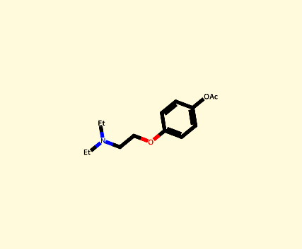 CCN(CC)CCOc1ccc(OC(C)=O)cc1